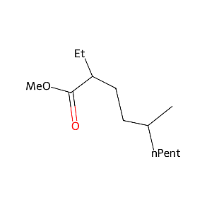 CCCCCC(C)CCC(CC)C(=O)OC